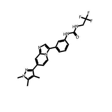 Cc1c(-c2ccn3c(-c4cccc(NC(=O)NCC(F)(F)F)c4)cnc3c2)nn(C)c1C